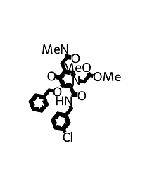 CNC(=O)Cc1cn(CC(OC)OC)c(C(=O)NCc2cccc(Cl)c2)c(OCc2ccccc2)c1=O